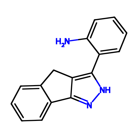 Nc1ccccc1-c1[nH]nc2c1Cc1ccccc1-2